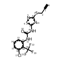 C#CCSc1nsc(NC(=O)Nc2cccc(Cl)c2C(F)(F)F)n1